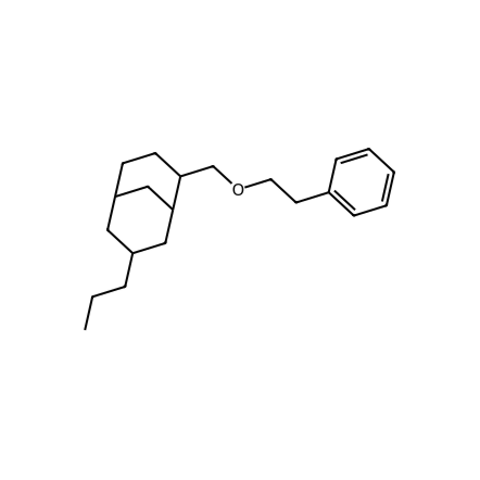 CCCC1CC2CCC(COCCc3ccccc3)C(C1)C2